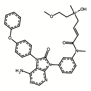 COCC[N+](C)(O)C/C=C/C(=O)N(C)c1cccc(-n2c(=O)n(-c3ccc(Oc4ccccc4)cc3)c3c(N)ncnc32)c1